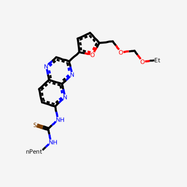 CCCCCNC(=S)Nc1ccc2ncc(-c3ccc(COCOCC)o3)nc2n1